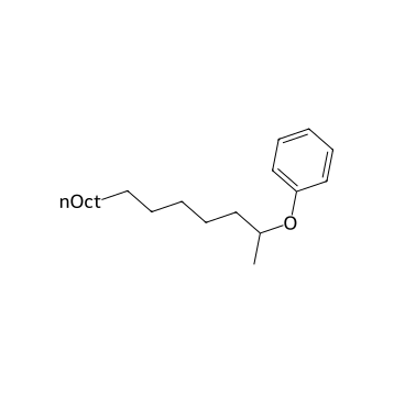 CCCCCCCCCCCCCC(C)Oc1ccccc1